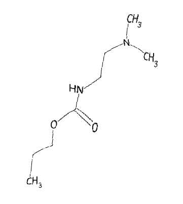 CCCOC(=O)NCCN(C)C